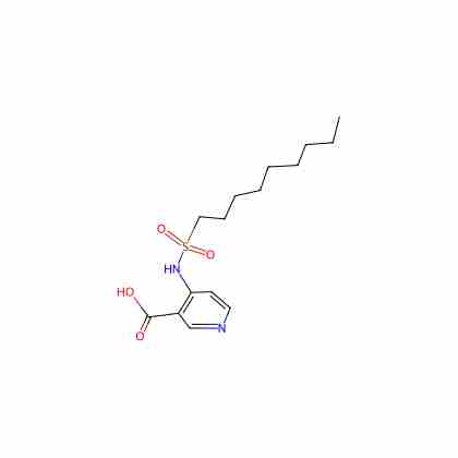 CCCCCCCCCS(=O)(=O)Nc1ccncc1C(=O)O